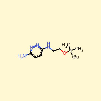 CC(C)(C)[Si](C)(C)OCCNc1ccc(N)nn1